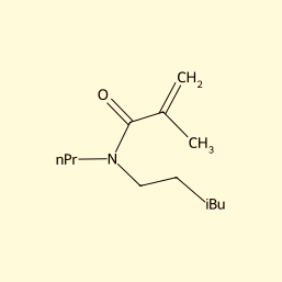 C=C(C)C(=O)N(CCC)CCC(C)CC